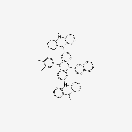 Cc1ccc(-c2c3ccc(N4c5ccccc5N(C)c5ccccc54)cc3c(-c3ccc4ccccc4c3)c3ccc(N4C5=C(CCC=C5)N(C)c5ccccc54)cc23)cc1C